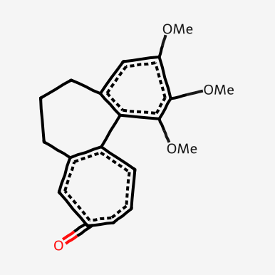 COc1cc2c(c(OC)c1OC)-c1cccc(=O)cc1CCC2